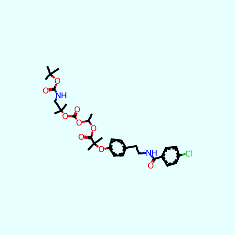 CC(OC(=O)OC(C)(C)CNC(=O)OC(C)(C)C)OC(=O)C(C)(C)Oc1ccc(CCNC(=O)c2ccc(Cl)cc2)cc1